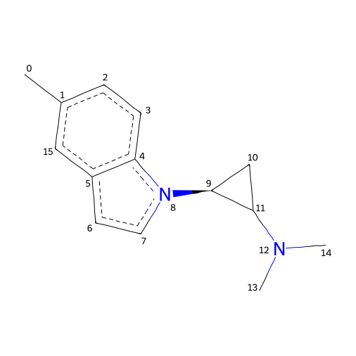 Cc1ccc2c(ccn2[C@H]2CC2N(C)C)c1